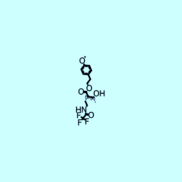 COc1ccc(CCOC(=O)[C@@H](CCNC(=O)C(F)(F)F)[C@@H](C)O)cc1